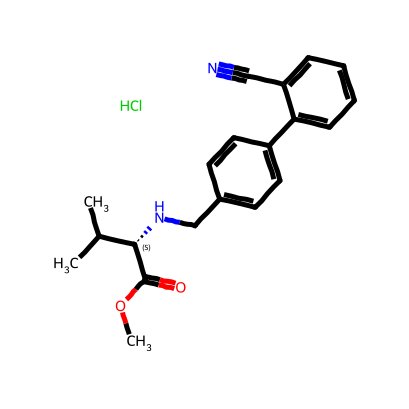 COC(=O)[C@@H](NCc1ccc(-c2ccccc2C#N)cc1)C(C)C.Cl